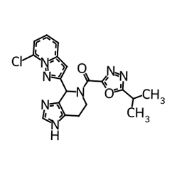 CC(C)c1nnc(C(=O)N2CCc3[nH]cnc3C2c2cc3cccc(Cl)n3n2)o1